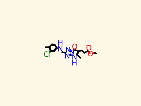 CCOC(=O)CCc1c(C)[nH]c2nc(CNc3ccc(C)c(Cl)c3)nn2c1=O